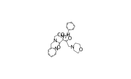 O=C(O)CN(Cc1ccccn1)C(=O)c1nc(-c2ccccc2)oc1CN1CCOCC1